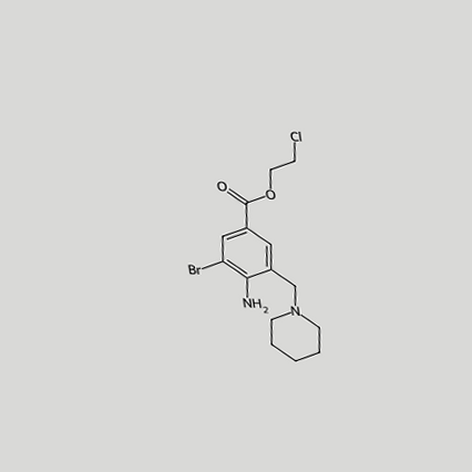 Nc1c(Br)cc(C(=O)OCCCl)cc1CN1CCCCC1